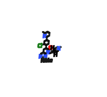 CNc1ncc2cc(-c3ccc(-c4cccc(C)n4)cc3Cl)c(=O)n(C[C@H]3[C@@H]4CN(C)C[C@@H]43)c2n1